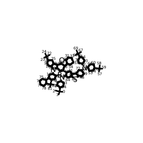 CC(C)(C)c1ccc(N2B3c4cc5c(cc4-n4c6ccc(C(C)(C)C)cc6c6c7oc8ccccc8c7c(c3c64)-c3cc4c(cc32)sc2ccc(N(c3ccc(C(C)(C)C)cc3)c3ccc(C(C)(C)C)cc3)cc24)-c2ccccc2C5(C)C)cc1